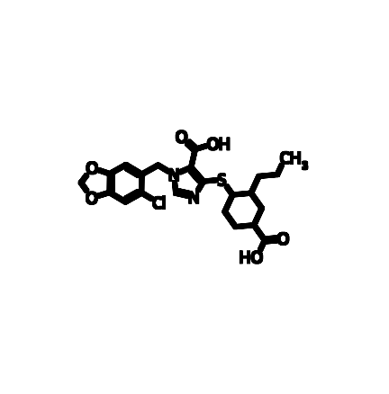 CCCC1CC(C(=O)O)CCC1Sc1ncn(Cc2cc3c(cc2Cl)OCO3)c1C(=O)O